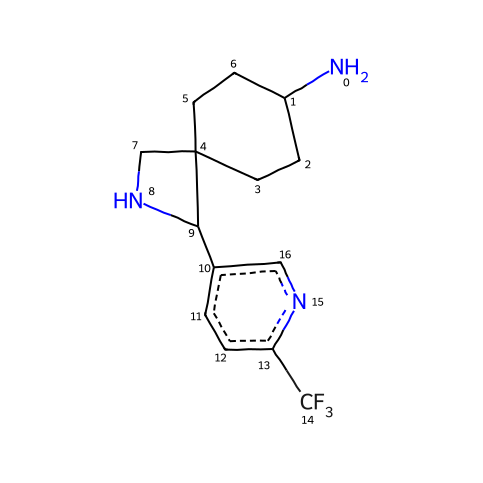 NC1CCC2(CC1)CNC2c1ccc(C(F)(F)F)nc1